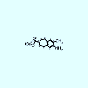 Cc1cc2c(cc1N)CCN(C(=O)OC(C)(C)C)CC2